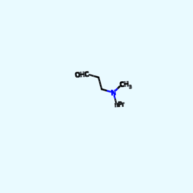 CCCN(C)CCC=O